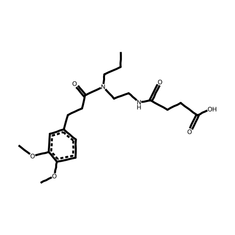 CCCN(CCNC(=O)CCC(=O)O)C(=O)CCc1ccc(OC)c(OC)c1